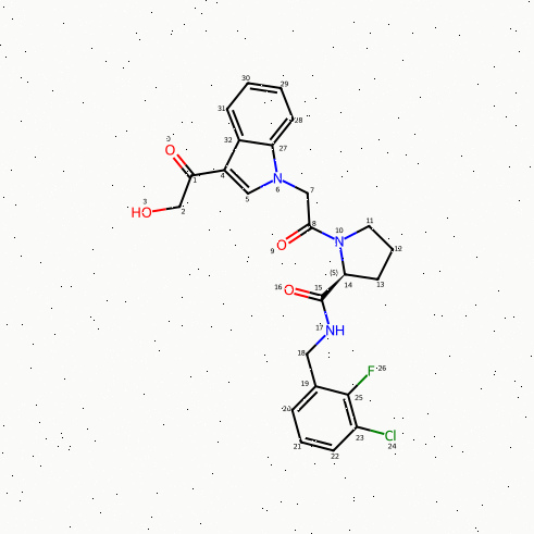 O=C(CO)c1cn(CC(=O)N2CCC[C@H]2C(=O)NCc2cccc(Cl)c2F)c2ccccc12